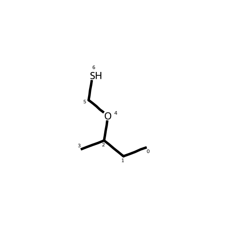 CCC(C)OCS